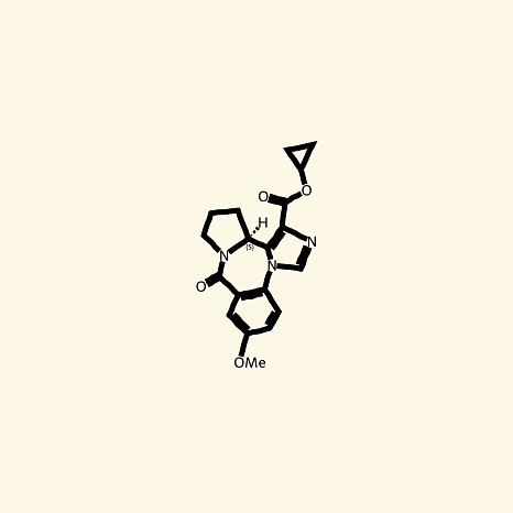 COc1ccc2c(c1)C(=O)N1CCC[C@H]1c1c(C(=O)OC3CC3)ncn1-2